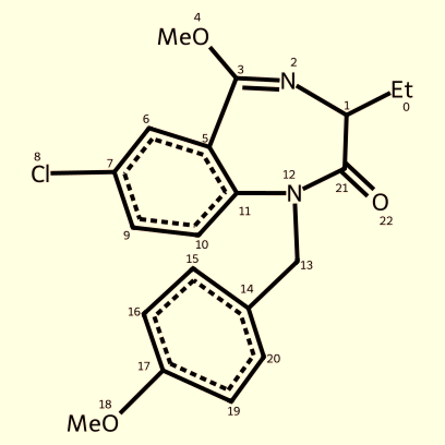 CCC1N=C(OC)c2cc(Cl)ccc2N(Cc2ccc(OC)cc2)C1=O